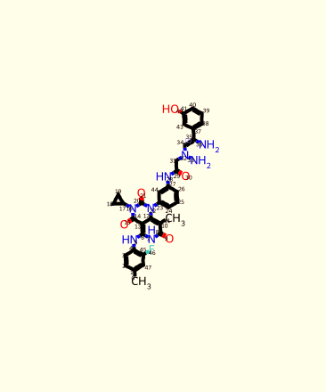 Cc1ccc(Nc2[nH]c(=O)c(C)c3c2c(=O)n(C2CC2)c(=O)n3-c2cccc(NC(=O)CN(N)/C=C(\N)c3cccc(O)c3)c2)c(F)c1